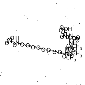 C[C@H](NC(=O)CCOCCOCCOCCOCCOCCOCCOCCOCCNC(=O)CCN1C(=O)C=CC1=O)C(=O)N[C@@H](C)C(=O)N[C@@H](C)C(=O)NCc1c2c(nc3cc4c(cc13)OCO4)-c1cc3c(c(=O)n1C2)COC(=O)[C@H]3O